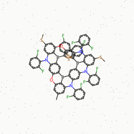 CSc1cc2c3c(c1)N(c1c(F)cccc1F)c1cc4c(cc1B3c1sc3ccc(F)cc3c1O2)B1c2cc3c(cc2N(c2c(F)cccc2F)c2cc(C)cc(c21)O4)N(c1c(F)cccc1F)c1cc(SC)cc2c1B3c1sc3ccc(F)cc3c1N2c1c(F)cccc1F